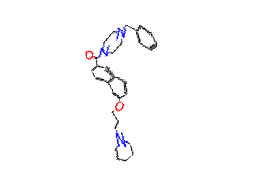 O=C(c1ccc2cc(OCCCN3CCCCC3)ccc2c1)N1CCN(Cc2ccccc2)CC1